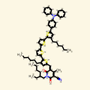 CCCCCCc1cc(/C=C2\C(=O)N(CC(CC)CCCC)C(=O)C(C#N)=C2C)sc1-c1ccc(-c2ccc(-c3sc(-c4ccc(N(c5ccccc5)c5ccccc5)cc4)cc3CCCCCC)s2)s1